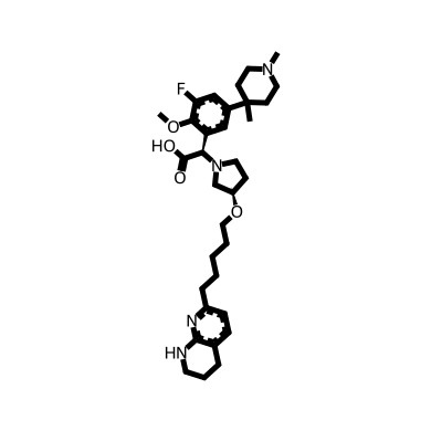 COc1c(F)cc(C2(C)CCN(C)CC2)cc1[C@H](C(=O)O)N1CC[C@@H](OCCCCCc2ccc3c(n2)NCCC3)C1